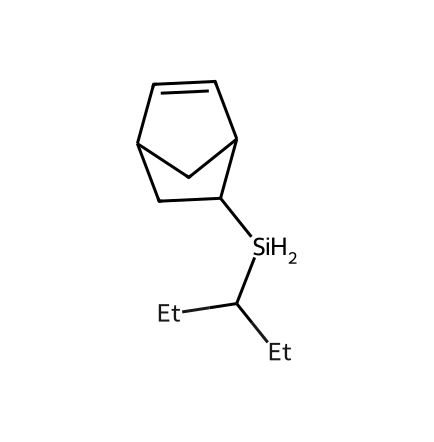 CCC(CC)[SiH2]C1CC2C=CC1C2